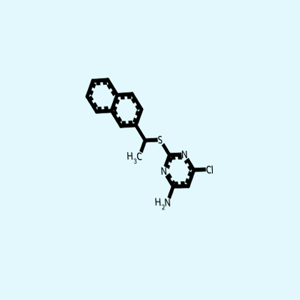 CC(Sc1nc(N)cc(Cl)n1)c1ccc2ccccc2c1